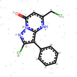 O=c1cc(CCl)[nH]c2c(-c3ccccc3)c(Cl)nn12